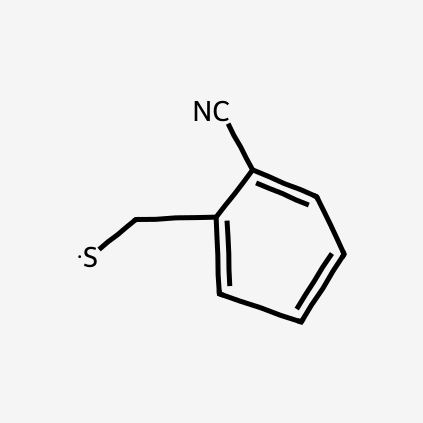 N#Cc1ccccc1C[S]